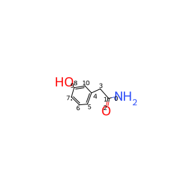 NC(=O)Cc1cc[c]c(O)c1